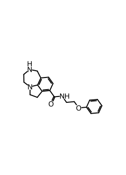 O=C(NCCOc1ccccc1)c1ccc2c3c1CCN3CCNC2